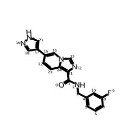 O=C(NCc1cccc(F)c1)c1ncn2cc(-c3cn[nH]c3)ccc12